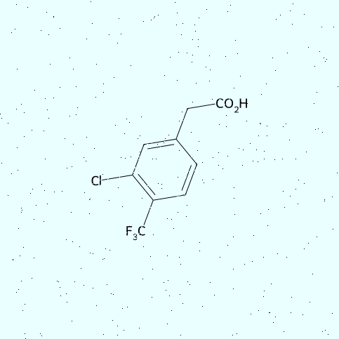 O=C(O)Cc1ccc(C(F)(F)F)c(Cl)c1